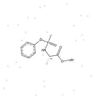 CCCOC(=O)[C@H](C)NP(C)(=O)Oc1ccccc1